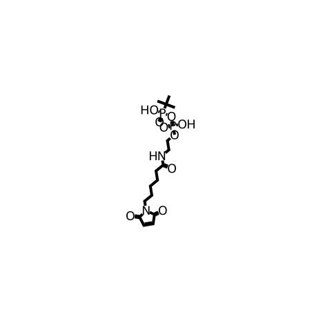 CC(C)(C)P(=O)(O)OP(=O)(O)OCCNC(=O)CCCCCN1C(=O)C=CC1=O